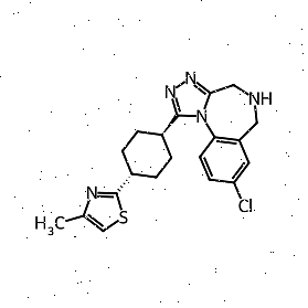 Cc1csc([C@H]2CC[C@H](c3nnc4n3-c3ccc(Cl)cc3CNC4)CC2)n1